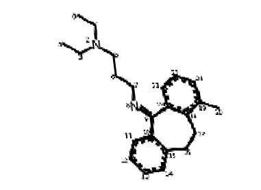 CCN(CC)CCCN=C1c2ccccc2CCc2c(C)cccc21